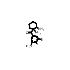 Nc1cc(C(=O)C2(N)CCCCC2N)cc(Br)c1F